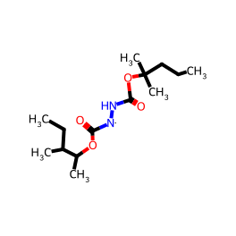 CCCC(C)(C)OC(=O)N[N]C(=O)OC(C)C(C)CC